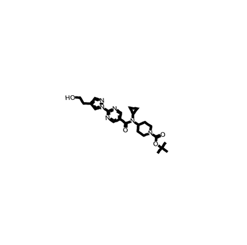 CC(C)(C)OC(=O)N1CCC(N(C(=O)c2cnc(-n3cc(CCO)cn3)nc2)C2CC2)CC1